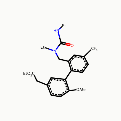 CCNC(=O)N(CC)Cc1cc(C(F)(F)F)ccc1-c1cc(CC(=O)OCC)ccc1OC